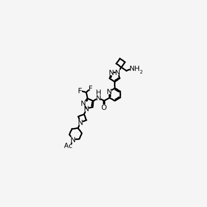 CC(=O)N1CCC(N2CC(n3cc(NC(=O)c4cccc(-c5cnn(C6(CN)CCC6)c5)n4)c(C(F)F)n3)C2)CC1